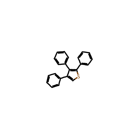 [c]1sc(-c2ccccc2)c(-c2ccccc2)c1-c1ccccc1